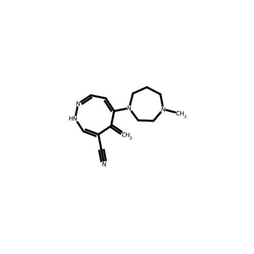 C=C1/C(C#N)=C\N/N=C\C=C/1N1CCCN(C)CC1